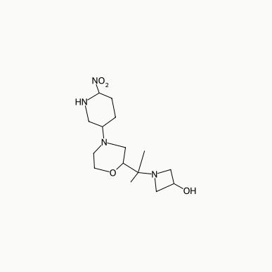 CC(C)(C1CN(C2CCC([N+](=O)[O-])NC2)CCO1)N1CC(O)C1